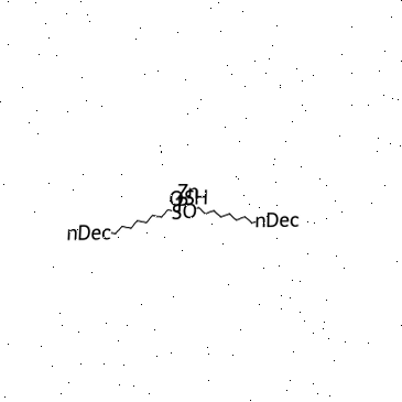 CCCCCCCCCCCCCCCCCCOP(=O)(S)SCCCCCCCCCCCCCCCCCC.[Zn]